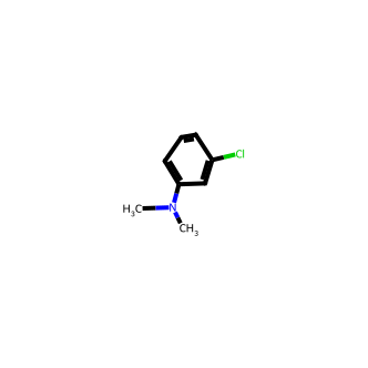 CN(C)c1cc[c]c(Cl)c1